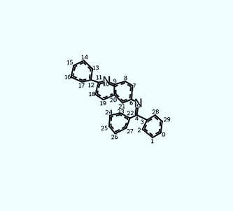 c1ccc(C(=Nc2ccc3nc(-c4ccccc4)ccc3c2)c2ccccc2)cc1